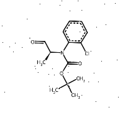 C[C@@H](C=O)N(C(=O)OC(C)(C)C)c1ccccc1Cl